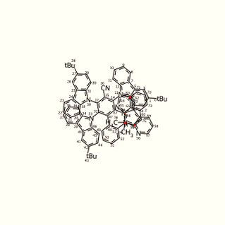 CC(C)(C)c1ccc2c(c1)c1ccccc1n2-c1c(C#N)c(-n2c3ccccc3c3cc(C(C)(C)C)ccc32)c(-n2c3ccccc3c3cc(C(C)(C)C)ccc32)c(-c2ccccc2-n2c3ncccc3c3cccnc32)c1N1c2ccccc2C=CC1(C)C